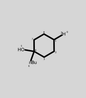 [3H]C1CCC(O)(CCCC)CC1